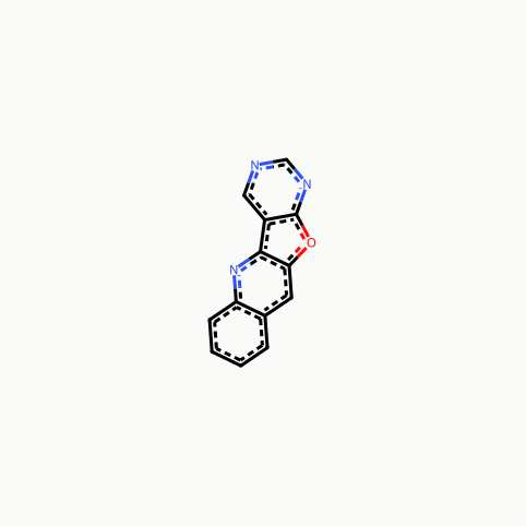 c1ccc2nc3c(cc2c1)oc1ncncc13